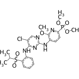 COc1nc(P(=O)(OC)OC)ccc1Nc1ncc(Cl)c(Nc2ccccc2S(=O)(=O)C(C)C)n1